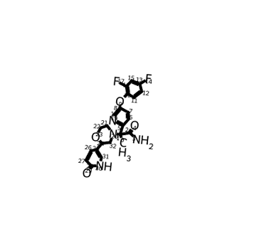 CC(C(N)=O)(c1ccc(Oc2ccc(F)cc2F)cn1)N1CCOC(c2ccc(=O)[nH]c2)C1